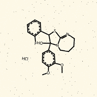 COc1ccc(C2(O)C(c3ccccc3F)SC3=NCCCCN32)cc1OC.Cl